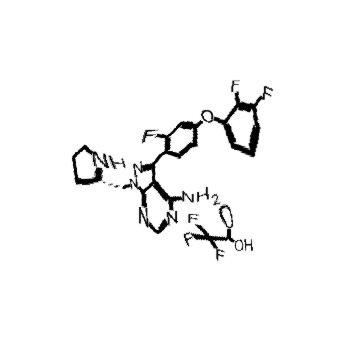 Nc1ncnc2c1c(-c1ccc(Oc3cccc(F)c3F)cc1F)nn2C[C@@H]1CCCN1.O=C(O)C(F)(F)F